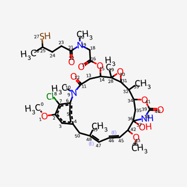 COc1cc2cc(c1Cl)N(C)C(=O)CC(OC(=O)CN(C)C(=O)CCC(C)S)C1(C)OC1C(C)C1CC(O)(NC(=O)O1)C(OC)/C=C/C=C(\C)C2